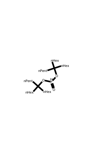 CCCCCCC(CCCCC)(CCCCCC)O[PH](=O)OC(CCCCC)(CCCCCC)CCCCCC